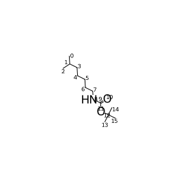 CC(C)CCCCCNC(=O)OC(C)(C)C